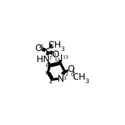 COc1nccc(NS(C)(=O)=O)c1I